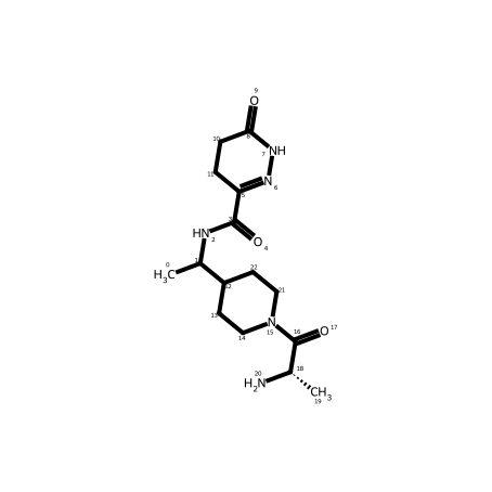 CC(NC(=O)C1=NNC(=O)CC1)C1CCN(C(=O)[C@H](C)N)CC1